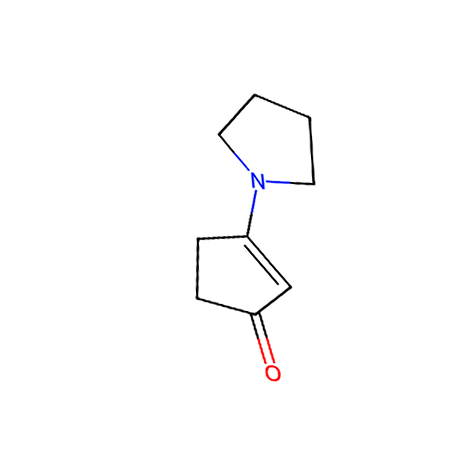 O=C1C=C(N2CCCC2)CC1